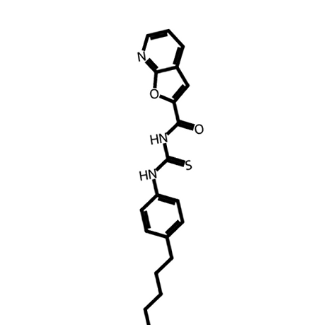 CCCCCc1ccc(NC(=S)NC(=O)c2cc3cccnc3o2)cc1